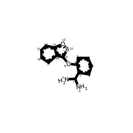 NC(N)c1ccccc1Oc1boc2ccccc12